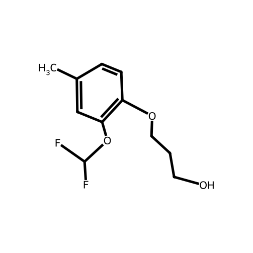 Cc1ccc(OCCCO)c(OC(F)F)c1